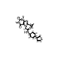 Cn1c(=O)c2c(nc(C3CC3)n2CC(=S)Nc2ccc(-c3ccsc3)cc2)n(C)c1=O